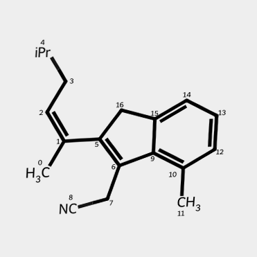 C/C(=C/CC(C)C)C1=C(CC#N)c2c(C)cccc2C1